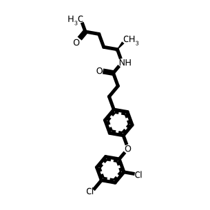 CC(=O)CC[C@@H](C)NC(=O)CCc1ccc(Oc2ccc(Cl)cc2Cl)cc1